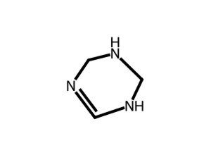 C1=NCNCN1